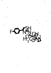 CC(C)(C(=O)Nc1nc(-c2ccc(F)cc2)cs1)S(=O)(=O)N1CCC1